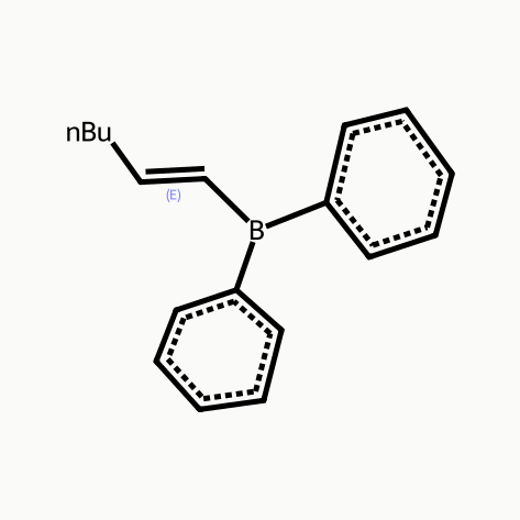 CCCC/C=C/B(c1ccccc1)c1ccccc1